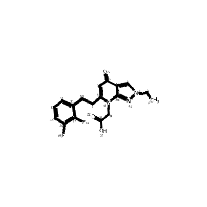 CCn1cc2c(=O)cc(CCc3cccc(F)c3F)n(CC(=O)O)c2n1